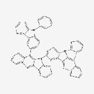 c1ccc(-n2c3ccccc3c3cc(-c4c5ccccc5cc5c6cccc7c8c9c%10cc%11ccccc%11c%11c%12ccccc%12n(c9cnc8n(c45)c67)c%10%11)ccc32)cc1